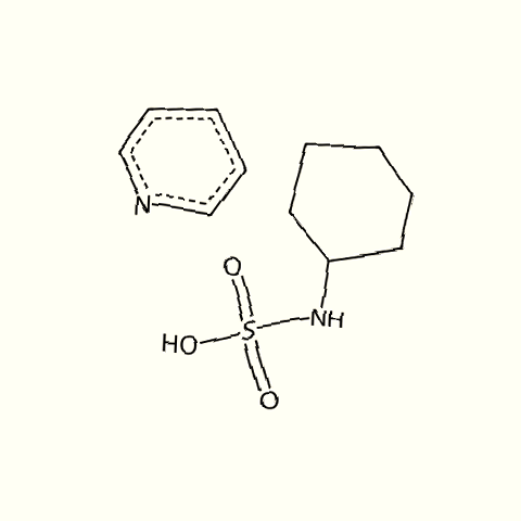 O=S(=O)(O)NC1CCCCC1.c1ccncc1